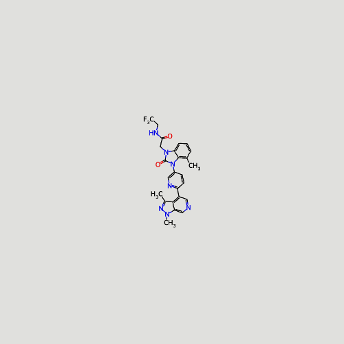 Cc1nn(C)c2cncc(-c3ccc(-n4c(=O)n(CC(=O)NCC(F)(F)F)c5cccc(C)c54)cn3)c12